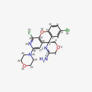 NC1=N[C@@]2(COC1)c1cc(Br)ccc1Oc1c2cc(N2CCOCC2)nc1F